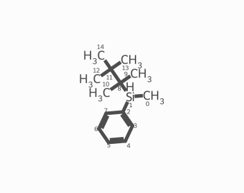 C[SiH](c1ccccc1)C(C)(C)C(C)(C)C